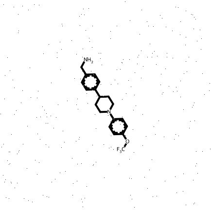 NCc1ccc(C2CCN(c3ccc(OC(F)(F)F)cc3)CC2)cc1